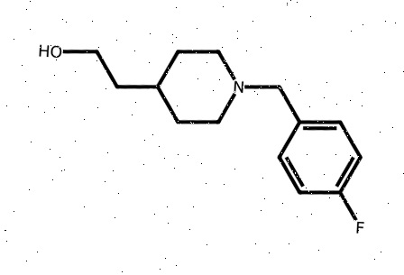 OCCC1CCN(Cc2ccc(F)cc2)CC1